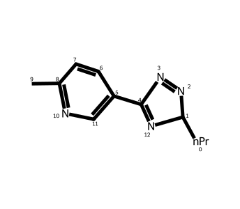 CCCC1N=NC(c2ccc(C)nc2)=N1